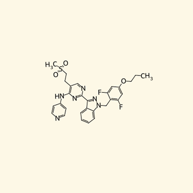 CCCOc1cc(F)c(Cn2nc(-c3ncc(CCS(C)(=O)=O)c(Nc4ccncc4)n3)c3ccccc32)c(F)c1